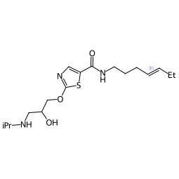 CC/C=C/CCCNC(=O)c1cnc(OCC(O)CNC(C)C)s1